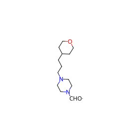 O=[C]N1CCN(CCCC2CCOCC2)CC1